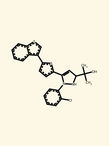 CC(C)(O)C1C=C(c2ccc(-c3csc4ccccc34)s2)N(c2ccccc2Cl)N1